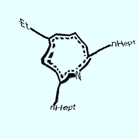 C[CH]c1cc(CCCCCCC)nc(CCCCCCC)c1